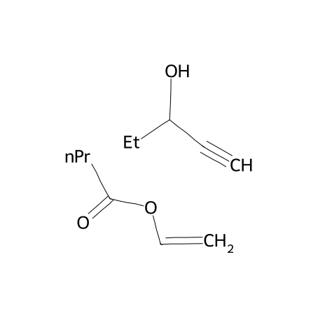 C#CC(O)CC.C=COC(=O)CCC